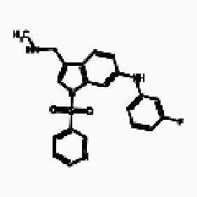 CNCc1cn(S(=O)(=O)c2cccnc2)c2cc(Nc3cccc(F)c3)ccc12